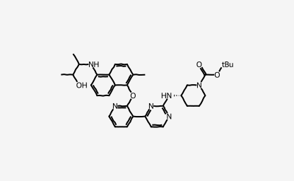 Cc1ccc2c(NC(C)C(C)O)cccc2c1Oc1ncccc1-c1ccnc(N[C@H]2CCCN(C(=O)OC(C)(C)C)C2)n1